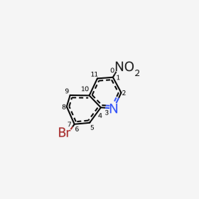 O=[N+]([O-])c1cnc2cc(Br)ccc2c1